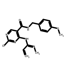 C=C/C(=N\C)Nc1nc(Cl)ncc1C(=O)NCc1ccc(OC)cc1